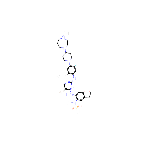 COc1cc(N2CCC(N3CCCN(C)CC3)CC2)c(F)cc1Nc1ncc(Br)c(Nc2cc3c(cc2N(C)S(C)(=O)=O)CCO3)n1